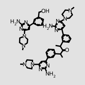 CC(C(=O)C(C)c1cccc(-c2cc(N3CCN(C)CC3)nc(N)n2)c1)c1cccc(-c2cc(N3CCN(C)CC3)nc(N)n2)c1.CN1CCN(c2cc(-c3cccc(CO)c3)nc(N)n2)CC1